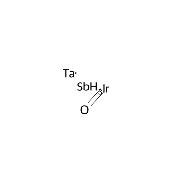 [O]=[Ir].[SbH3].[Ta]